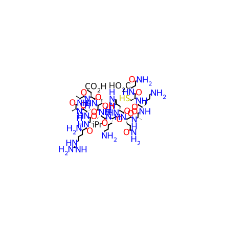 CC(C)[C@H](NC(=O)[C@@H](N)CCCNC(=N)N)C(=O)N[C@@H](C)C(=O)N[C@@H](C)C(=O)N[C@@H](C)C(=O)N[C@@H](CCC(=O)O)C(=O)N[C@H](C(=O)N[C@@H](C)C(=O)N[C@@H](CCCCN)C(=O)N[C@@H](Cc1c[nH]cn1)C(=O)N[C@@H](CCC(N)=O)C(=O)N[C@@H](C)C(=O)N[C@@H](CCCCN)C(=O)N[C@@H](CS)C(=O)N[C@@H](CC(N)=O)C(=O)O)[C@@H](C)O